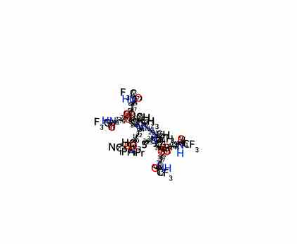 CC(C)N(C(C)C)P(OCCC#N)OCCCCCC[N+]1=C(/C=C/C=C/C=C2\N(CCCS(=O)(=O)O)c3ccc(P(=O)(OCCCCNC(=O)C(F)(F)F)OCCCCNC(=O)C(F)(F)F)cc3C2(C)C)C(C)(C)c2cc(P(=O)(OCCCCNC(=O)C(F)(F)F)OCCCCNC(=O)C(F)(F)F)ccc21